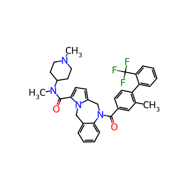 Cc1cc(C(=O)N2Cc3ccc(C(=O)N(C)C4CCN(C)CC4)n3Cc3ccccc32)ccc1-c1ccccc1C(F)(F)F